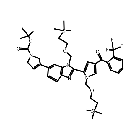 CC(C)(C)OC(=O)N1CC=C(c2ccc3nc(-c4cc(C(=O)c5ccccc5C(F)(F)F)cn4COCC[Si](C)(C)C)n(COCC[Si](C)(C)C)c3c2)C1